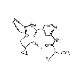 CC(C)C(=O)Nc1cc(C(=O)Nc2cnccc2OCC2(C)CC2)ccn1